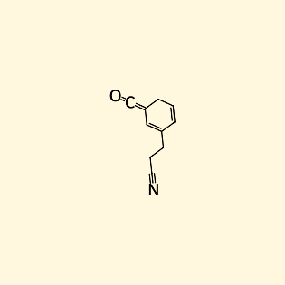 N#CCCC1=CC(=C=O)CC=C1